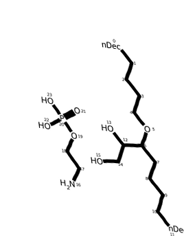 CCCCCCCCCCCCCCOC(CCCCCCCCCCCCCC)C(O)CO.NCCOP(=O)(O)O